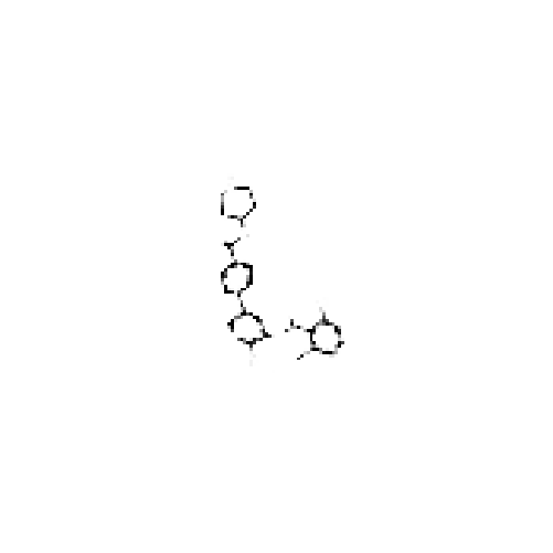 CC(Oc1cc(-c2ccc(C(=O)NC3CCN(C)CC3)cc2)cnc1N)c1c(Cl)cccc1Cl